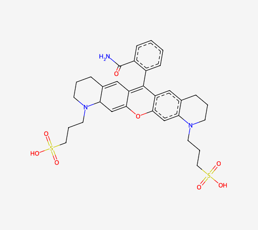 NC(=O)c1ccccc1C1=C2C=C3CCCN(CCCS(=O)(=O)O)C3C=C2Oc2cc3c(cc21)CCCN3CCCS(=O)(=O)O